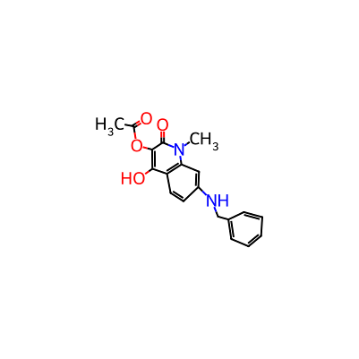 CC(=O)Oc1c(O)c2ccc(NCc3ccccc3)cc2n(C)c1=O